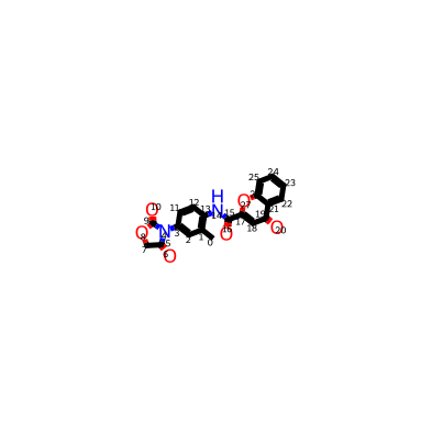 Cc1cc(N2C(=O)COC2=O)ccc1NC(=O)c1cc(=O)c2ccccc2o1